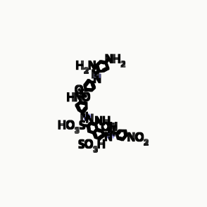 Nc1ccc(/N=N/c2ccc(S(=O)(=O)Nc3ccc(/N=N/c4c(S(=O)(=O)O)cc5cc(S(=O)(=O)O)c(/N=N/c6ccc([N+](=O)[O-])cc6)c(O)c5c4N)cc3)cc2)c(N)c1